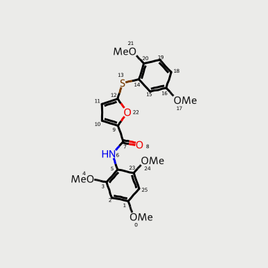 COc1cc(OC)c(NC(=O)c2ccc(Sc3cc(OC)ccc3OC)o2)c(OC)c1